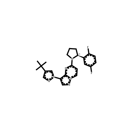 CC(C)(C)c1cnn(-c2cnn3ccc(N4CCC[C@H]4c4cc(F)ccc4F)nc23)c1